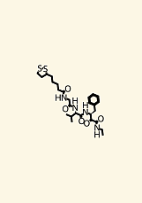 CCNC(=O)C(=O)[C@H](Cc1ccccc1)NC(=O)[C@@H](NC(=O)CNC(=O)CCCCC1CCSS1)C(C)C